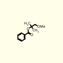 COCC(C)(C)OC(=O)c1ccccc1